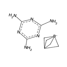 C1[B-]23CC1(C2)C3.Nc1nc(N)nc(N)n1